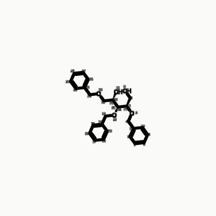 OC[C@@H](OCc1ccccc1)[C@H](OCc1ccccc1)[C@@H](O)COCc1ccccc1